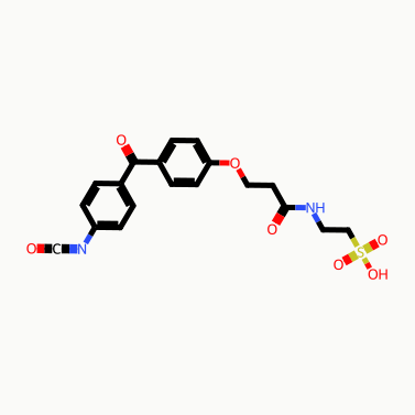 O=C=Nc1ccc(C(=O)c2ccc(OCCC(=O)NCCS(=O)(=O)O)cc2)cc1